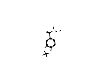 CON(C)C(=O)c1ccc2c(c1)OC(F)(F)O2